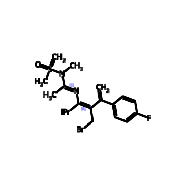 C=C(/C(CBr)=C(\N=C(/C)N(C)S(=C)(C)=O)C(C)C)c1ccc(F)cc1